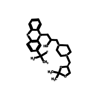 CC1(C)OC[C@H](CN2CCN(CC(O)CN3c4ccccc4Sc4ccc(C(C)(F)P)cc43)CC2)O1